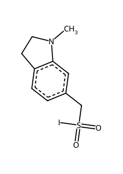 CN1CCc2ccc(CS(=O)(=O)I)cc21